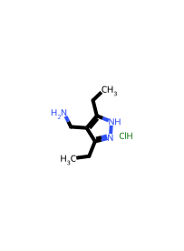 CCc1n[nH]c(CC)c1CN.Cl